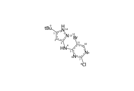 CC(C)(C)c1cc(Nc2nc(Cl)ncc2Br)n[nH]1